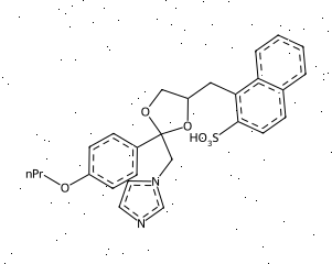 CCCOc1ccc(C2(Cn3ccnc3)OCC(Cc3c(S(=O)(=O)O)ccc4ccccc34)O2)cc1